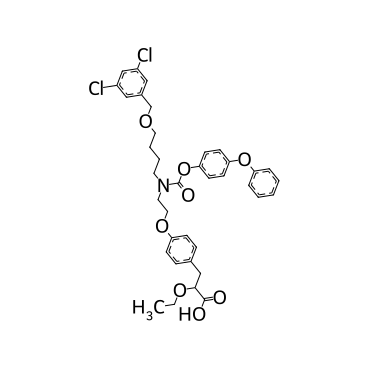 CCOC(Cc1ccc(OCCN(CCCCOCc2cc(Cl)cc(Cl)c2)C(=O)Oc2ccc(Oc3ccccc3)cc2)cc1)C(=O)O